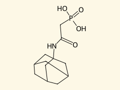 O=C(CP(=O)(O)O)NC12CC3CC(CC(C3)C1)C2